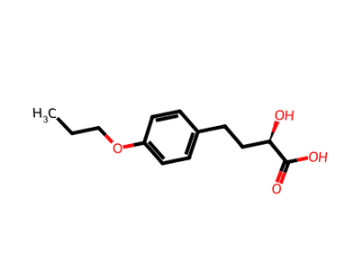 CCCOc1ccc(CC[C@@H](O)C(=O)O)cc1